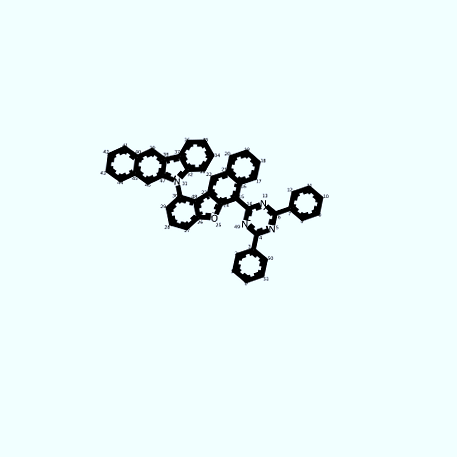 c1ccc(-c2nc(-c3ccccc3)nc(-c3c4ccccc4cc4c3oc3cccc(-n5c6ccccc6c6cc7ccccc7cc65)c34)n2)cc1